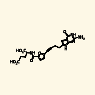 Nc1nc2[nH]c(CCC#Cc3ccc(C(=O)NC(CCC(=O)O)C(=O)O)o3)cc2c(=O)[nH]1